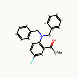 COC(=O)c1cc(F)ccc1N(Cc1ccccc1)Cc1ccccc1